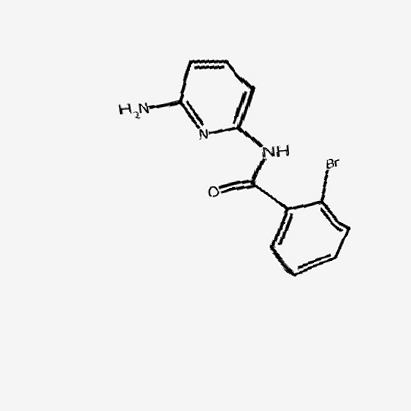 Nc1cccc(NC(=O)c2ccccc2Br)n1